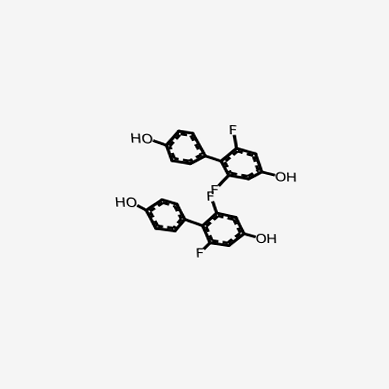 Oc1ccc(-c2c(F)cc(O)cc2F)cc1.Oc1ccc(-c2c(F)cc(O)cc2F)cc1